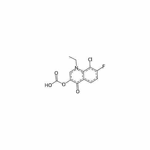 CCn1cc(OC(=O)O)c(=O)c2ccc(F)c(Cl)c21